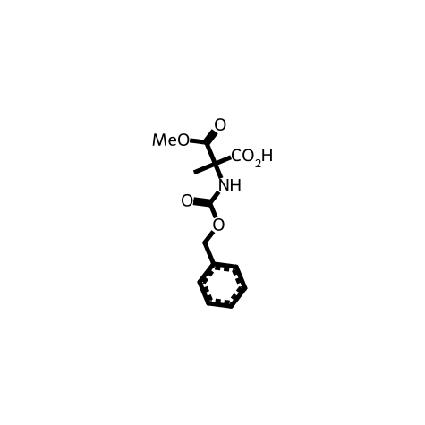 COC(=O)C(C)(NC(=O)OCc1ccccc1)C(=O)O